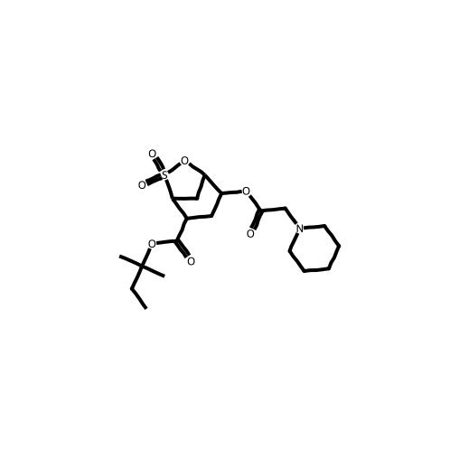 CCC(C)(C)OC(=O)C1CC(OC(=O)CN2CCCCC2)C2CC1S(=O)(=O)O2